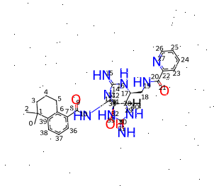 CC1(C)CCCc2c(C(=O)NC3CN4C(=N)N[C@@H](CNC(=O)c5ccccn5)[C@@H]5NC(=N)N[C@@]54[C@@H]3O)cccc21